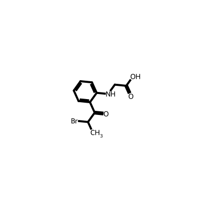 CC(Br)C(=O)c1ccccc1NCC(=O)O